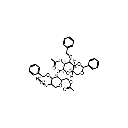 CC(=O)OCC1OCC(N=[N+]=[N-])C(OCc2ccccc2)[C@@H]1O[C@@H]1O[C@H]2COC(c3ccccc3)O[C@H]2C(OCc2ccccc2)[C@@H]1OC(C)=O